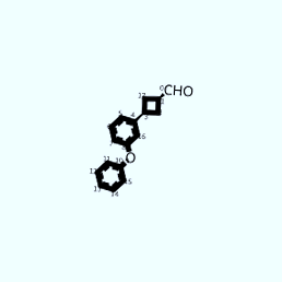 O=C[C@H]1C[C@@H](c2cccc(Oc3ccccc3)c2)C1